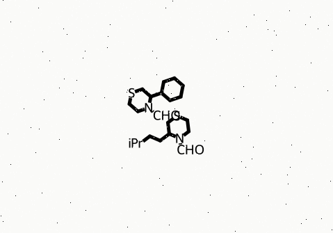 CC(C)CCC1CSCCN1C=O.O=CN1CCSCC1C1CCCCC1